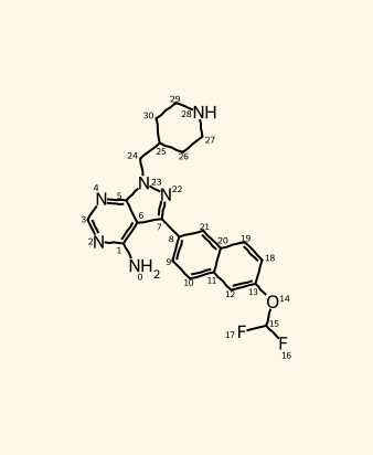 Nc1ncnc2c1c(-c1ccc3cc(OC(F)F)ccc3c1)nn2CC1CCNCC1